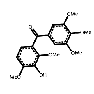 COc1ccc(C(=O)c2cc(OC)c(OC)c(OC)c2)c(OC)c1O